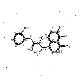 C[C@H](c1c[nH]c(=O)c2c(F)c(F)ccc12)N(C)C(=O)Nc1ccccc1F